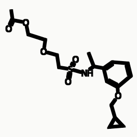 CC(=O)OCCOCCS(=O)(=O)NC(C)c1cccc(OCC2CC2)c1